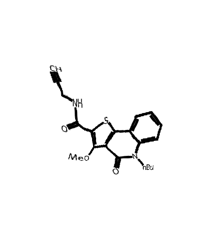 C#CCNC(=O)c1sc2c(c1OC)c(=O)n(CCCC)c1ccccc21